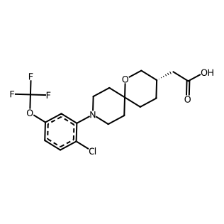 O=C(O)C[C@@H]1CCC2(CCN(c3cc(OC(F)(F)F)ccc3Cl)CC2)OC1